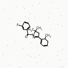 CC1CC=CC=C1C1=NN(C(=O)c2cccc(F)c2)C(C)(C)C1